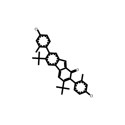 Cc1cc(Cl)ccc1C1=C(C(C)(C)C)C=C2C(=Cc3cc(-c4ccc(Cl)cc4C)c(C(C)(C)C)cc32)C1=O